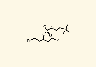 CC(C)CCC(CCC(C)C)OP(=O)([O-])OCC[N+](C)(C)C